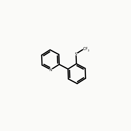 FC(F)(F)Sc1ccccc1-c1ccccn1